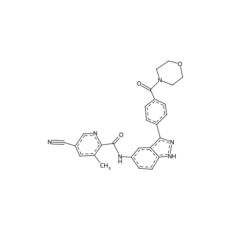 Cc1cc(C#N)cnc1C(=O)Nc1ccc2[nH]nc(-c3ccc(C(=O)N4CCOCC4)cc3)c2c1